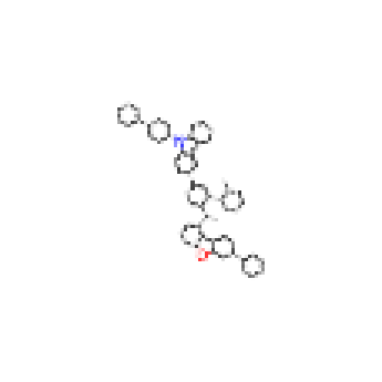 Cc1ccccc1-c1cc(-c2ccc3c(c2)c2ccccc2n3-c2ccc(-c3ccccc3)cc2)ccc1C(C)c1cccc2oc3cc(-c4ccccc4)ccc3c12